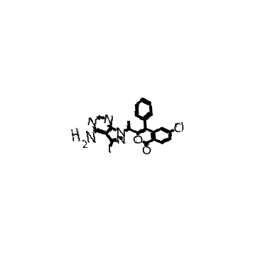 CC(c1oc(=O)c2ccc(Cl)cc2c1-c1ccccc1)n1nc(I)c2c(N)ncnc21